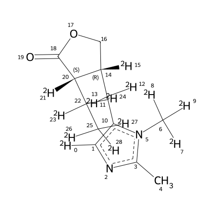 [2H]c1nc(C)n(C([2H])([2H])[2H])c1C([2H])([2H])[C@@]1([2H])COC(=O)[C@@]1([2H])C([2H])([2H])C([2H])([2H])[2H]